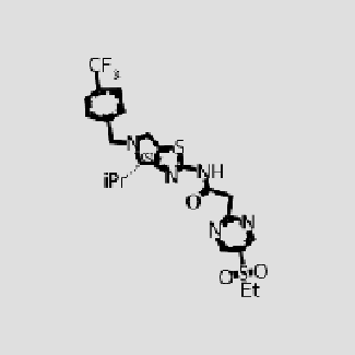 CCS(=O)(=O)c1cnc(CC(=O)Nc2nc3c(s2)CN(Cc2ccc(C(F)(F)F)cc2)[C@H]3C(C)C)nc1